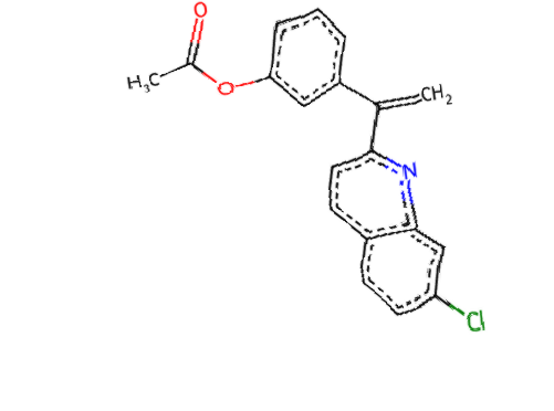 C=C(c1cccc(OC(C)=O)c1)c1ccc2ccc(Cl)cc2n1